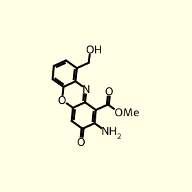 COC(=O)c1c2nc3c(CO)cccc3oc-2cc(=O)c1N